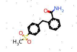 CS(=O)(=O)c1ccc(Cc2ccccc2C(N)=O)cc1